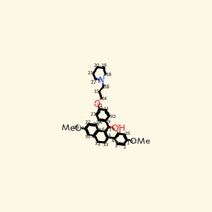 COc1ccc(C2=C(C(O)c3ccc(OCCCN4CCCCC4)cc3)c3ccc(OC)cc3CC2)cc1